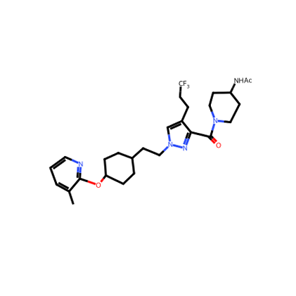 CC(=O)NC1CCN(C(=O)c2nn(CCC3CCC(Oc4ncccc4C)CC3)cc2CCC(F)(F)F)CC1